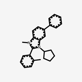 Cc1ccccc1-c1n(C2CCCC2)c2cc(-c3ccccc3)ccc2[n+]1C